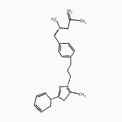 C=C(C)CN(C)Cc1ccc(CCCC2=C(C)CC(C3C=CC=CC3)=N2)cc1